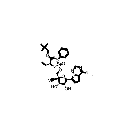 CC[C@H](N[P@@](=O)(OC[C@@]1(C#N)O[C@@H](c2ccc3c(N)ncnn23)[C@H](O)[C@@H]1O)Oc1ccccc1)C(=O)OCC(C)(C)C